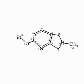 CCOc1ccc2c(n1)CN(C)C2